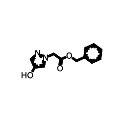 O=C(Cn1cc(O)cn1)OCc1ccccc1